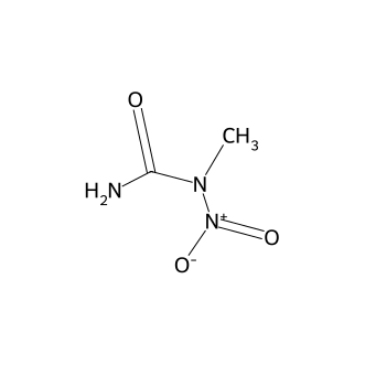 CN(C(N)=O)[N+](=O)[O-]